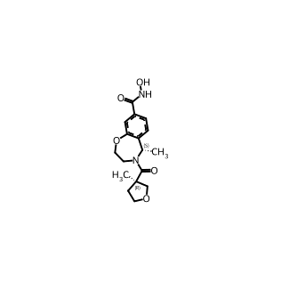 C[C@H]1c2ccc(C(=O)NO)cc2OCCN1C(=O)[C@]1(C)CCOC1